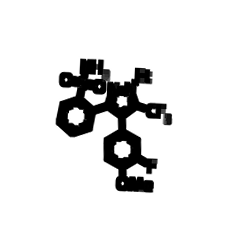 CCn1nc(-c2ccccc2S(N)(=O)=O)c(-c2ccc(OC)c(F)c2)c1C(F)(F)F